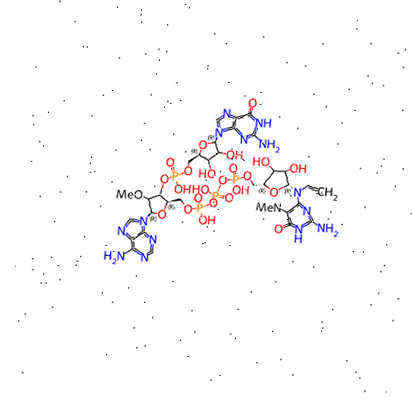 C=CN(c1nc(N)[nH]c(=O)c1NC)[C@@H]1O[C@H](COP(=O)(O)OP(=O)(O)OP(=O)(O)OC[C@H]2O[C@@H](n3cnc4c(N)ncnc43)C(OC)C2OP(=O)(O)OC[C@H]2O[C@@H](n3cnc4c(=O)[nH]c(N)nc43)C(O)C2O)C(O)C1O